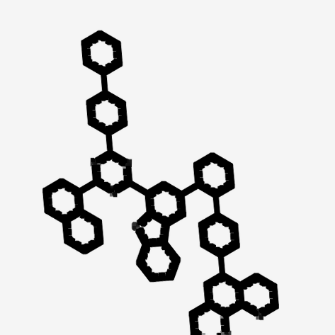 c1ccc(-c2ccc(-c3nc(-c4cccc5ccccc45)nc(-c4cc(-c5ccccc5-c5ccc(-c6cc7cccnc7c7ncccc67)cc5)cc5c4oc4ccccc45)n3)cc2)cc1